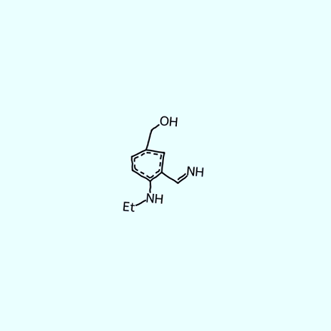 CCNc1ccc(CO)cc1C=N